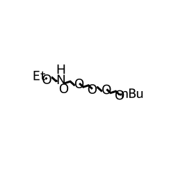 CCCCOCCOCCOCCOCCC(=O)NCCOCC